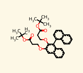 CC(C)(C)OC(=O)CCOc1cc2ccccc2c(-c2cccc3ccccc23)c1OCCC(=O)OC(C)(C)C